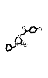 Cl.Cl.O=C(CCN1CCN(Cc2ccccc2)CC1)c1ccc(Cl)cc1